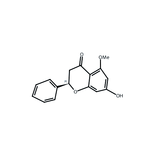 COc1cc(O)cc2c1C(=O)C[C@H](c1ccccc1)O2